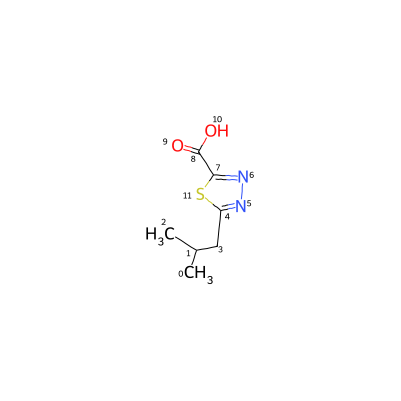 CC(C)Cc1nnc(C(=O)O)s1